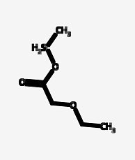 CCOCC(=O)O[SiH2]C